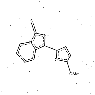 COc1ccc(-c2[nH]c(=S)n3ccccc23)o1